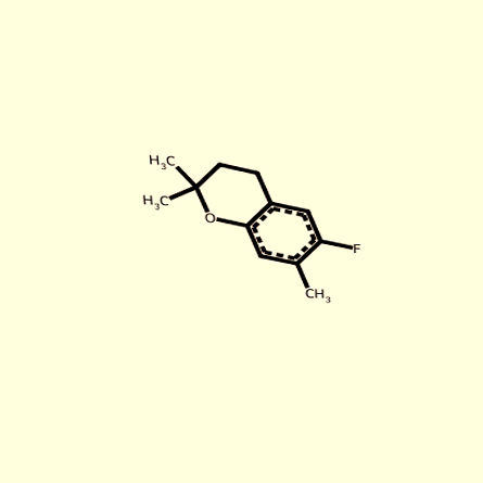 Cc1cc2c(cc1F)CCC(C)(C)O2